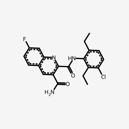 CCc1ccc(Cl)c(CC)c1NC(=O)c1nc2cc(F)ccc2cc1C(N)=O